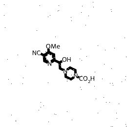 COc1cc(C(O)CN2CCN(C(=O)O)CC2)ncc1C#N